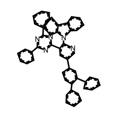 c1ccc(-c2nc(-c3ccccc3)nc(-c3cc(-c4ccc(-c5ccccc5)c(-c5ccccc5)c4)cnc3-n3c4ccccc4c4ccccc43)n2)cc1